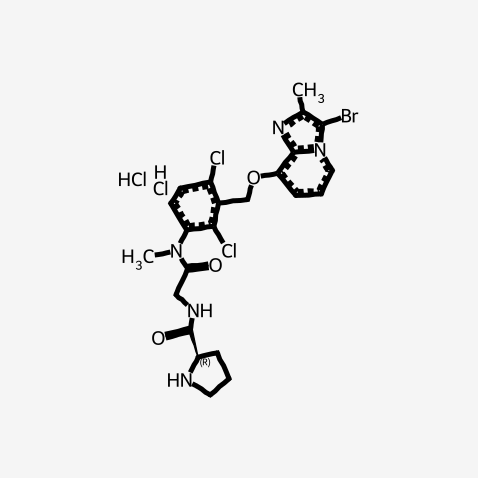 Cc1nc2c(OCc3c(Cl)ccc(N(C)C(=O)CNC(=O)[C@H]4CCCN4)c3Cl)cccn2c1Br.Cl.Cl